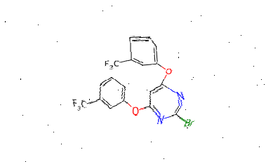 FC(F)(F)c1cccc(Oc2cc(Oc3cccc(C(F)(F)F)c3)nc(Br)n2)c1